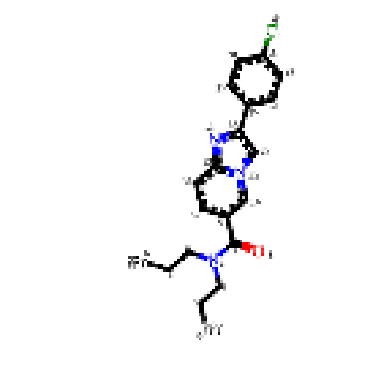 CC(C)CCN(CCC(C)C)C(=O)c1ccc2nc(-c3ccc(Cl)cc3)cn2c1